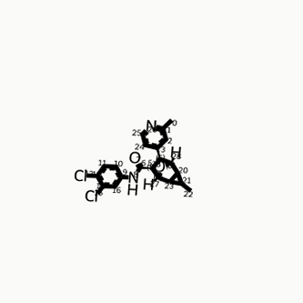 Cc1cc([C@@H]2[C@H](C(=O)Nc3ccc(Cl)c(Cl)c3)[C@@H]3O[C@H]2C2C(C)C23)ccn1